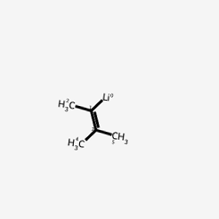 [Li][C](C)=C(C)C